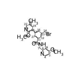 COc1ccnc(CNC(=O)c2cc(CBr)cc(-c3cc(C)cnc3OC)c2)c1